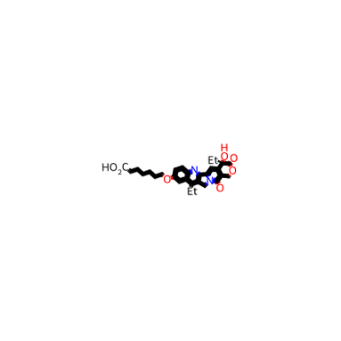 CCc1c2c(nc3ccc(OCCCCCCC(=O)O)cc13)-c1cc3c(c(=O)n1C2)COC(=O)[C@]3(O)CC